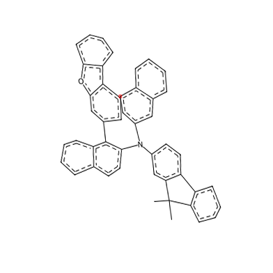 CC1(C)c2ccccc2-c2ccc(N(c3ccc4ccccc4c3)c3ccc4ccccc4c3-c3ccc4c(c3)oc3ccccc34)cc21